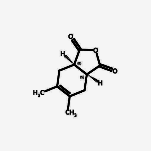 CC1=C(C)C[C@H]2C(=O)OC(=O)[C@H]2C1